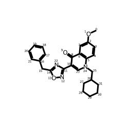 COc1ccc2c(c1)c(=O)c(-c1noc(Cc3ccccc3)n1)cn2CC1CCCCC1